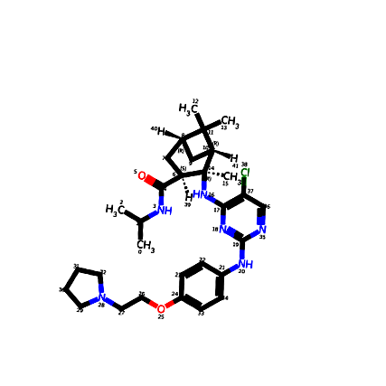 CC(C)NC(=O)[C@H]1C[C@H]2C[C@H](C2(C)C)[C@@]1(C)Nc1nc(Nc2ccc(OCCN3CCCC3)cc2)ncc1Cl